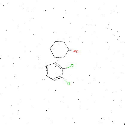 Clc1ccccc1Cl.O=C1CCCCC1